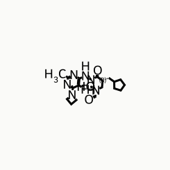 Cc1nc(NNC(=O)[C@H](CC2CCCC2)CN(O)C=O)c(F)c(N2CCC2)n1